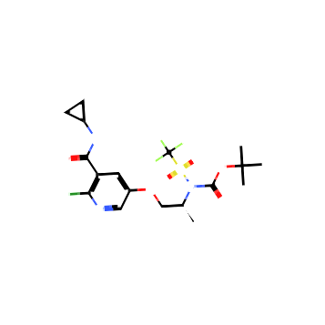 C[C@@H](COc1cnc(Cl)c(C(=O)NC2CC2)c1)N(C(=O)OC(C)(C)C)S(=O)(=O)C(F)(F)F